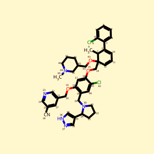 CC1C(c2ccccc2Cl)=CC=CC1(COc1cc(OCc2cncc(C#N)c2)c(CN2CCCC2c2cn[nH]c2)cc1Cl)OCC1CCCN(C)C1